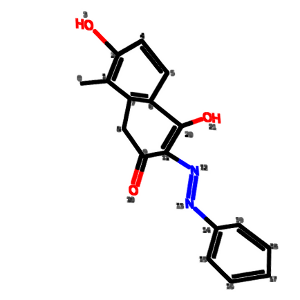 Cc1c(O)ccc2c1CC(=O)C(/N=N/c1ccccc1)=C2O